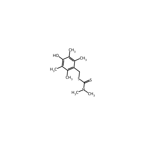 Cc1c(C)c(CSC(=S)N(C)C)c(C)c(C)c1O